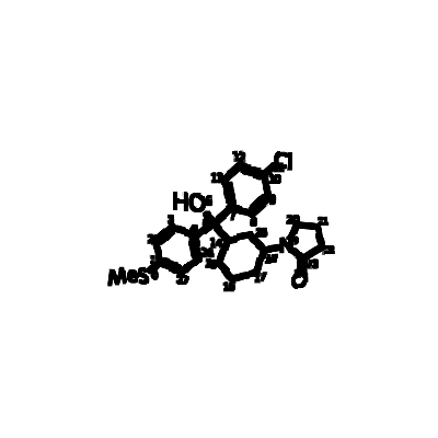 CSc1ccc(C(O)(c2ccc(Cl)cc2)C2CCCC(N3CCCC3=O)C2)cc1